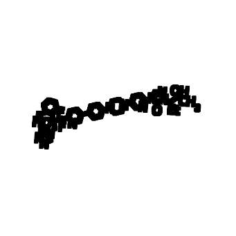 CC[C@@H]([C@H](C)O)n1ncn(-c2ccc(N3CCN(c4ccc(-c5ccc(C(F)(F)[C@](O)(Cn6cnnn6)c6ccccc6F)nc5)cc4)CC3)cn2)c1=O